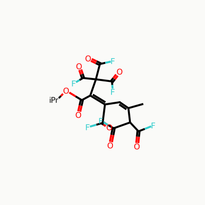 CC(=CC(C(=O)F)=C(C(=O)OC(C)C)C(C(=O)F)(C(=O)F)C(=O)F)C(C(=O)F)C(=O)F